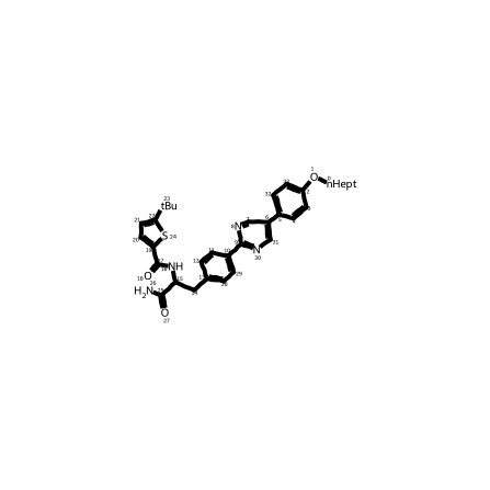 CCCCCCCOc1ccc(-c2cnc(-c3ccc(CC(NC(=O)c4ccc(C(C)(C)C)s4)C(N)=O)cc3)nc2)cc1